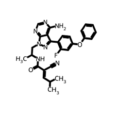 CC(C)C=C(C#N)C(=O)NC(C)Cn1nc(-c2ccc(Oc3ccccc3)cc2F)c2c(N)ncnc21